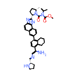 COC(=O)N(C(=O)N1[C@@H](C)CC[C@H]1c1nc2ccc3cc(-c4ccc(/C(N)=C/N=C/[C@@H]5CCCN5)c5c4CCCC5)ccc3c2[nH]1)C(C)C